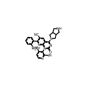 COc1ccccc1-c1nc2c(cc1C#N)c(N1CC3CNCC3C1)nc(=O)n2-c1c(C)ccnc1C(C)C